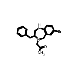 NC(=O)CN1Cc2cc(Br)ccc2NCC1Cc1ccccc1